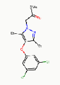 CCc1nn(CC(=O)OC)c(CC)c1Oc1cc(Cl)cc(Cl)c1